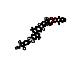 CC(C)(C)c1cc2c(cc1O)C1(C)c3ccccc3C2(C)c2cc(O)c(Cn3c(=O)c4cc5oc6cc7c(cc6oc5cc4c3=O)C3(CC7(C)C)CC(C)(C)c4cc5oc6cc7c(=O)n(C(C)(C)C)c(=O)c7cc6oc5cc43)cc21